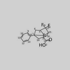 O=C(O)C12CC3CC(c4ccccc4)(CC(C1)C3(F)F)C2